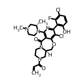 C=CC(=O)N1CCN2C(=O)c3c(N4CCN(C)C[C@@H]4C)nc(-c4c(O)ccc(Cl)c4F)c(Cl)c3OC[C@H]2C1